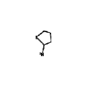 [2H]C1CCCS1